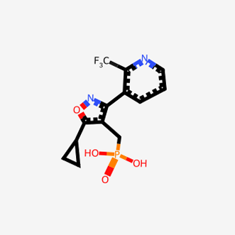 O=P(O)(O)Cc1c(-c2cccnc2C(F)(F)F)noc1C1CC1